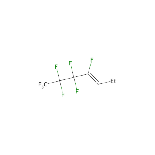 CC/C=C(\F)C(F)(F)C(F)(F)C(F)(F)F